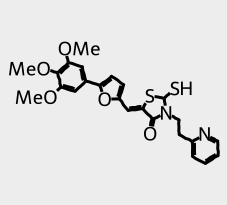 COc1cc(-c2ccc(/C=C3\SC(S)N(CCc4ccccn4)C3=O)o2)cc(OC)c1OC